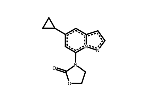 O=C1OCCN1c1cc(C2CC2)cc2ccnn12